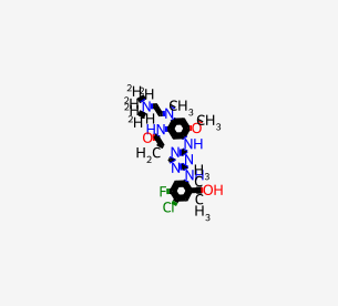 [2H]C([2H])([2H])N(CCN(C)c1cc(OC)c(Nc2ncnc(Nc3cc(F)c(Cl)cc3C(C)(C)O)n2)cc1NC(=O)C=C)C([2H])([2H])[2H]